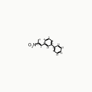 CC(=Cc1cccc(-c2ccccc2)c1)[N+](=O)[O-]